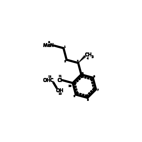 CNCC[C@H](C)c1ccccc1Cl.O=CO